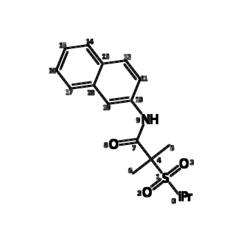 CC(C)S(=O)(=O)C(C)(C)C(=O)Nc1ccc2ccccc2c1